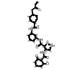 C=CC(=O)Cc1ccc(C(=O)Nc2cccc(NC(=O)c3n[nH]cc3NC(=O)c3c(Cl)cccc3Cl)c2)cc1